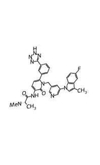 CN[C@@H](C)C(=O)Nc1ccc(-c2cccc(-c3nn[nH]n3)c2)n(Cc2cncc(-n3cc(C)c4cc(F)ccc43)c2)c1=O